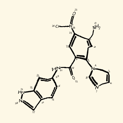 Nc1cc(-n2ccnc2)c(C(=O)Nc2ccc3cn[nH]c3c2)cc1[N+](=O)[O-]